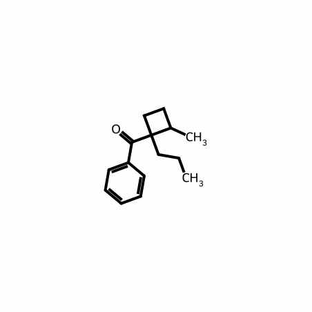 CCCC1(C(=O)c2ccccc2)CCC1C